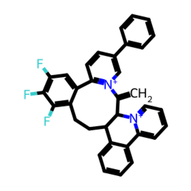 C=C1C2C(CCc3c(cc(F)c(F)c3F)-c3ccc(-c4ccccc4)c[n+]31)c1ccccc1-c1cccc[n+]12